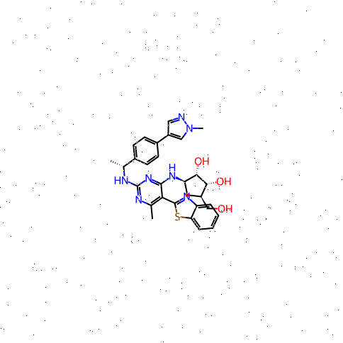 Cc1nc(N[C@H](C)c2ccc(-c3cnn(C)c3)cc2)nc(N[C@@H]2C[C@H](CO)[C@@H](O)[C@H]2O)c1-c1nc2ccccc2s1